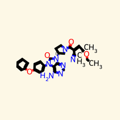 CCOC(C)(C)C=C(C#N)C(=O)N1CC[C@H](n2c(=O)n(-c3ccc(Oc4ccccc4)cc3)c3c(N)ncnc32)C1